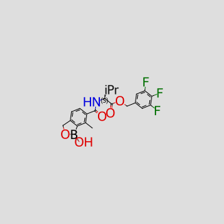 Cc1c(C(=O)N[C@H](C(=O)OCc2cc(F)c(F)c(F)c2)C(C)C)ccc2c1B(O)OC2